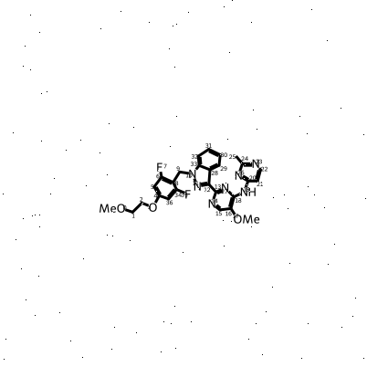 COCCOc1cc(F)c(Cn2nc(-c3ncc(OC)c(Nc4ccnc(C)n4)n3)c3ccccc32)c(F)c1